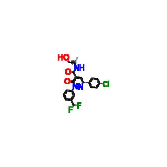 C[C@@H](CO)NC(=O)c1cc(-c2ccc(Cl)cc2)nn(-c2cccc(C(F)F)c2)c1=O